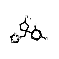 CC1CCC(Cn2cncn2)(c2ccc(Cl)cc2Cl)C1